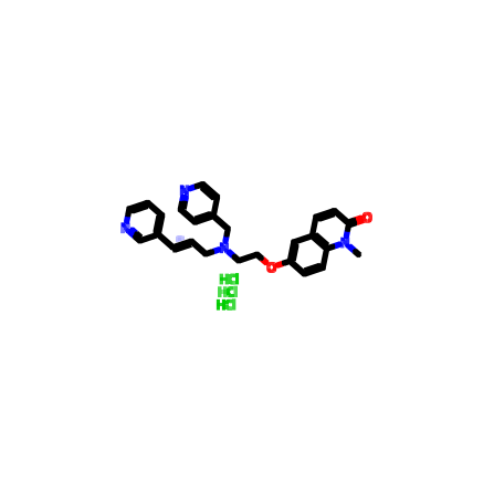 Cl.Cl.Cl.Cn1c(=O)ccc2cc(OCCN(C/C=C/c3cccnc3)Cc3ccncc3)ccc21